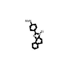 CCn1c(-c2ccc(NC)cc2)nc2c3ccccc3ccc21